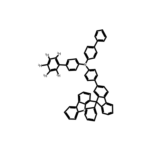 [2H]c1c([2H])c([2H])c(-c2ccc(N(c3ccc(-c4ccccc4)cc3)c3ccc(-c4ccc5c(c4)C(c4ccccc4)(c4cccc6c4oc4ccccc46)c4ccccc4-5)cc3)cc2)c([2H])c1[2H]